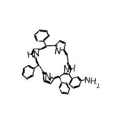 Nc1cccc(-c2cc3cc4nc(c(-c5ccccc5)c5ccc([nH]5)c(-c5ccccc5)c5nc(c(-c6ccccc6)c2[nH]3)C=C5)C=C4)c1